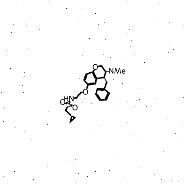 CN[C@H]1COc2ccc(OCCNS(=O)(=O)CC3CC3)cc2[C@@H]1Cc1ccccc1